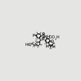 O=C(O)c1c(NS(=O)(=O)c2ccc(F)cc2CC2CCN(CCO)C2)ccc2c1OC[C@@H]1C[C@H]21